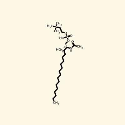 CCCCCCCCCCCCCCC[C@@H](O)[C@H](COP(=O)(O)OCC[N+](C)(C)C)NC(C)=O